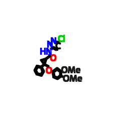 COc1ccc(OCC2(c3ccccc3)CC2C(=O)Nc2ccc(Cl)nn2)cc1OC